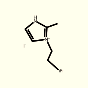 Cc1[nH]cc[n+]1CCC(C)C.[I-]